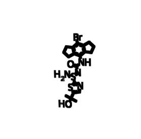 CC(C)(O)c1cnc(/S(N)=N/C(=O)Nc2c3c(c(Br)c4c2CCC4)CCC3)s1